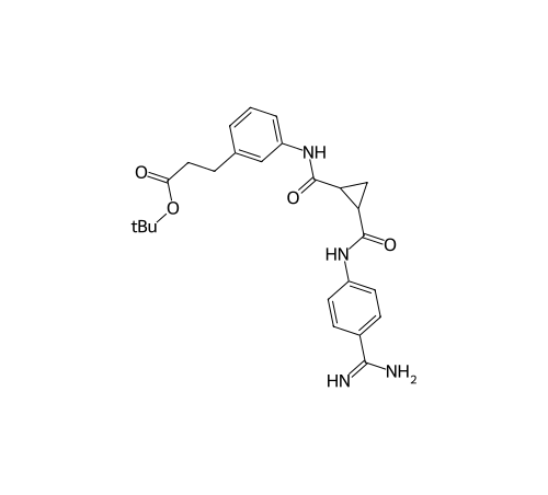 CC(C)(C)OC(=O)CCc1cccc(NC(=O)C2CC2C(=O)Nc2ccc(C(=N)N)cc2)c1